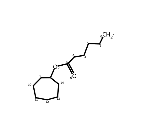 [CH2]CCCCC(=O)OC1CCCCCC1